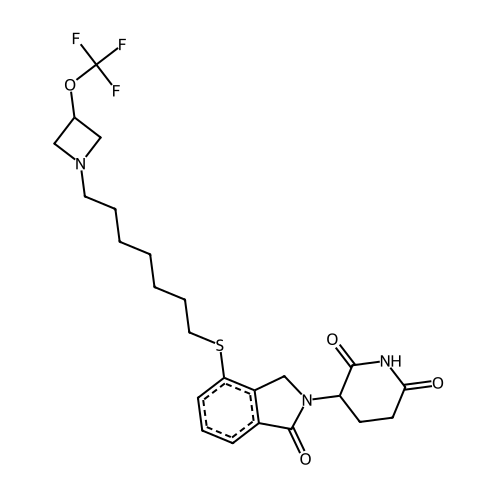 O=C1CCC(N2Cc3c(SCCCCCCCN4CC(OC(F)(F)F)C4)cccc3C2=O)C(=O)N1